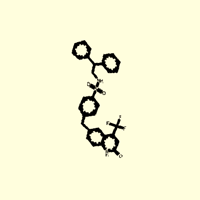 O=c1cc(C(F)(F)F)c2cc(Cc3ccc(S(=O)(=O)NCC(c4ccccc4)c4ccccc4)cc3)ccc2[nH]1